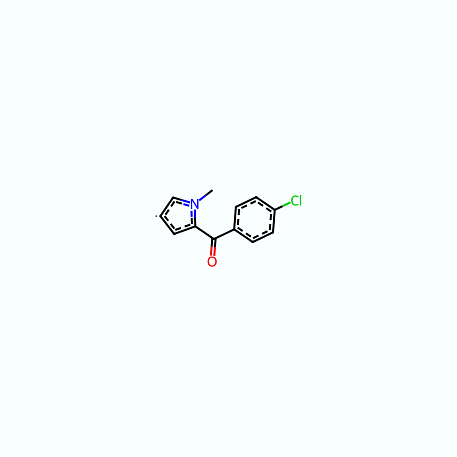 Cn1c[c]cc1C(=O)c1ccc(Cl)cc1